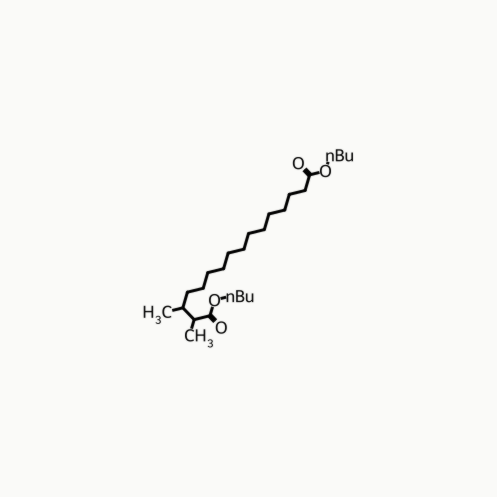 CCCCOC(=O)CCCCCCCCCCCCC(C)C(C)C(=O)OCCCC